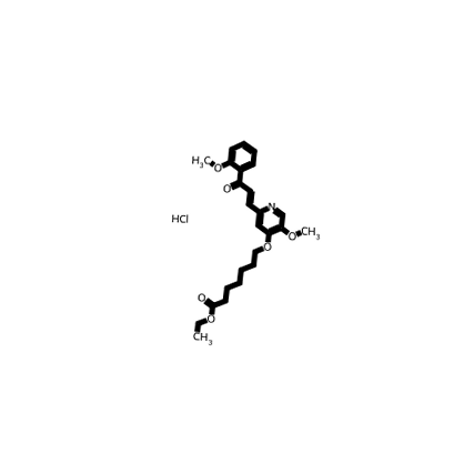 CCOC(=O)CCCCCCOc1cc(/C=C/C(=O)c2ccccc2OC)ncc1OC.Cl